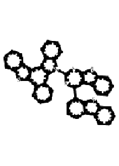 c1ccc2c(c1)sc1c(-c3nc(-n4c5ccccc5c5c6c7ccccc7sc6c6ccccc6c54)nc4sc5ccccc5c34)cccc12